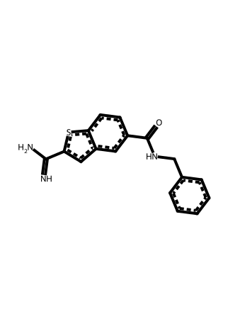 N=C(N)c1cc2cc(C(=O)NCc3ccccc3)ccc2s1